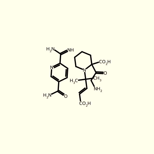 CC(C)(C=CC(=O)O)N1CCCCC1(C(=O)O)C(=O)CN.N=C(N)c1ccc(C(N)=O)cn1